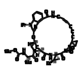 CC[C@@H]1C[C@@]12NC(=O)[C@@H]1C[C@H](CN1C(=O)[C@@H](NC(=O)OC(C)(C)C)C(C)(C)C)Oc1nc3c(cccc3n1C(C)C)C(=O)NCC=CCCCC1(CC1)S(=O)(=O)NC2=O